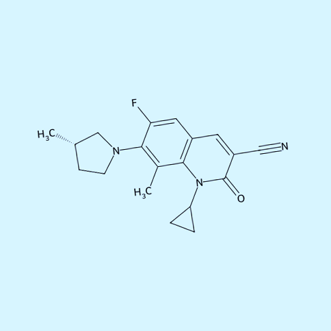 Cc1c(N2CC[C@H](C)C2)c(F)cc2cc(C#N)c(=O)n(C3CC3)c12